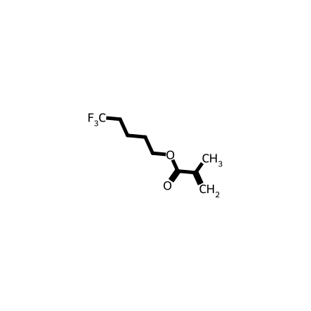 C=C(C)C(=O)OCCCCC(F)(F)F